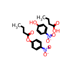 CCCC(=O)O.CCCC(=O)Oc1ccc([N+](=O)[O-])cc1.O=[N+]([O-])c1ccc(O)cc1